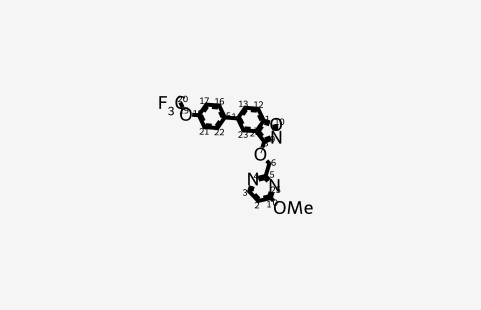 COc1ccnc(COc2noc3ccc(-c4ccc(OC(F)(F)F)cc4)cc23)n1